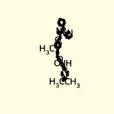 Cc1cc(OCc2cnc(SC3C=CCCC3)n2-c2cccnc2)ccc1C#CCOC(=O)NCCN1CCN(C(C)C)CC1